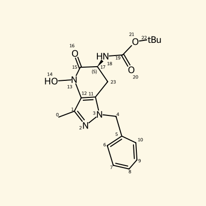 Cc1nn(Cc2ccccc2)c2c1N(O)C(=O)[C@@H](NC(=O)OC(C)(C)C)C2